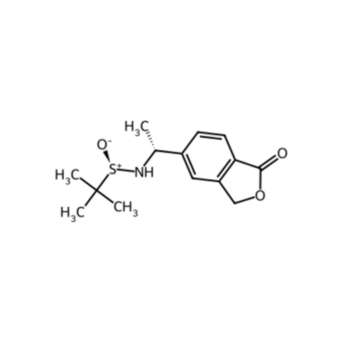 C[C@@H](N[S@+]([O-])C(C)(C)C)c1ccc2c(c1)COC2=O